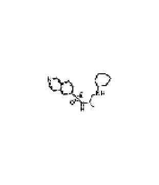 C[C@H](CNC1CCCCC1)NS(=O)(=O)c1ccc2cnccc2c1